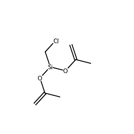 C=C(C)O[Si](CCl)OC(=C)C